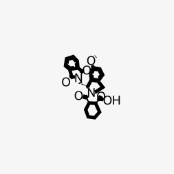 COc1ccc2c(c1)[C@@H](CN1C(=O)c3ccccc3C1=O)N(C(=O)[C@@H]1CCCC[C@@H]1C(=O)O)CC2